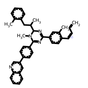 C=C/C=C\c1ccc(C2=NC(C(C)Cc3ccccc3C)N(C)C(c3ccc(-c4cnc5ccccc5c4)cc3)=N2)cc1C